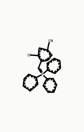 N#Cc1ccc(C=P(c2ccccc2)(c2ccccc2)c2ccccc2)c(Cl)c1